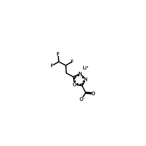 O=C([O-])c1nnc(CC(F)C(F)F)o1.[Li+]